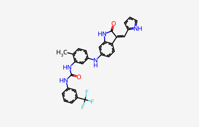 Cc1ccc(Nc2ccc3c(c2)NC(=O)C3=Cc2ccc[nH]2)cc1NC(=O)Nc1cccc(C(F)(F)F)c1